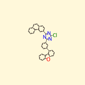 Clc1nc(-c2cccc(-c3cccc4oc5ccccc5c34)c2)nc(-c2ccc3ccc4ccccc4c3c2)n1